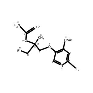 COc1cc(I)ncc1OC[C@](C)(CC(C)C)OC(N)=O